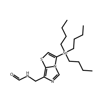 CCC[CH2][Sn]([CH2]CCC)([CH2]CCC)[c]1csc2c(CNC=O)ncn12